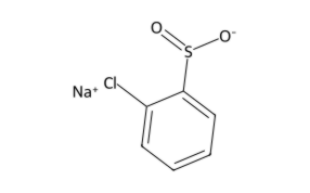 O=S([O-])c1ccccc1Cl.[Na+]